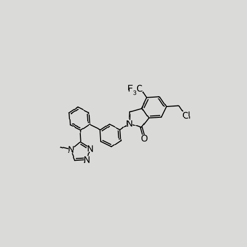 Cn1cnnc1-c1ccccc1-c1cccc(N2Cc3c(cc(CCl)cc3C(F)(F)F)C2=O)c1